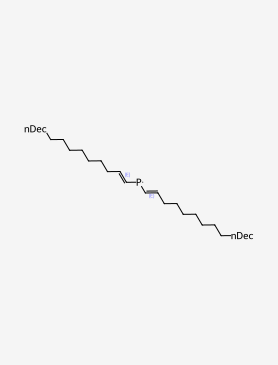 CCCCCCCCCCCCCCCCC/C=C/[P]/C=C/CCCCCCCCCCCCCCCCC